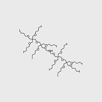 ICCCOCC(COCCCI)(COCCCI)COCC(COCCCI)(COCCCI)COCNCOCC(COCCCI)(COCCCI)COCC(COCCCI)(COCCCI)COCCCI